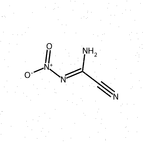 N#CC(N)=N[N+](=O)[O-]